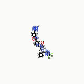 Cn1nnc(-c2ccc3oc(-c4ccnc(C(=O)N5CCN([C@H](c6ccccc6)c6nnn(C(F)F)n6)CC5)c4)nc3c2)n1